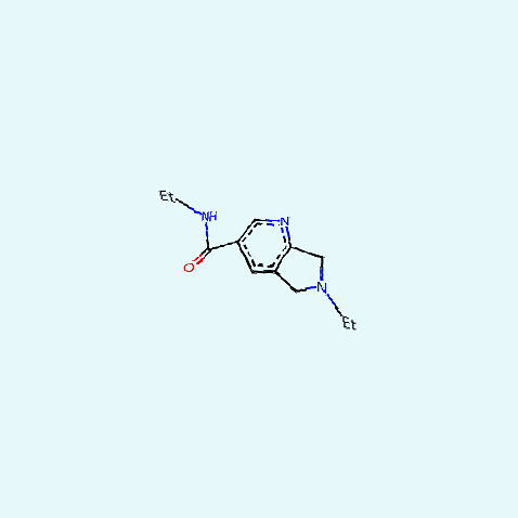 CCNC(=O)c1cnc2c(c1)CN(CC)C2